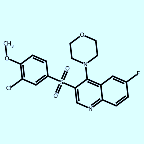 COc1ccc(S(=O)(=O)c2cnc3ccc(F)cc3c2N2CCOCC2)cc1Cl